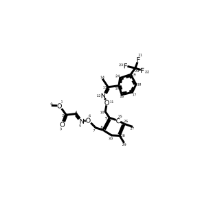 COC(=O)C=NOCC1=C(CON=C(C)c2cccc(C(F)(F)F)c2)CC(C)=C(C)C1